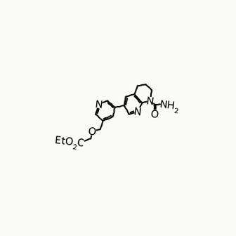 CCOC(=O)COCc1cncc(-c2cnc3c(c2)CCCN3C(N)=O)c1